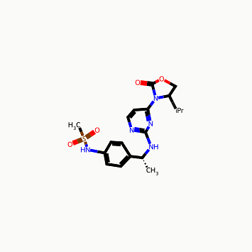 CC(C)C1COC(=O)N1c1ccnc(N[C@H](C)c2ccc(NS(C)(=O)=O)cc2)n1